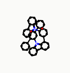 c1ccc(-c2ccc(-c3ccccc3)c(-n3c4ccccc4c4cccc(-c5cccc(-n6c7ccccc7c7ccccc76)c5)c43)c2)cc1